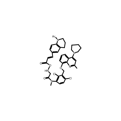 CC(=O)N1CCCc2cc(C=CC(=O)ONCC(=O)N(C)c3ccc(Cl)c(COc4cccc5c(N6CCCCC6)cc(C)nc45)c3Cl)ccc21